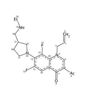 C=CCn1cc(C(C)=O)c(=O)c2cc(F)c(N3CCC(CNCC)C3)c(F)c21